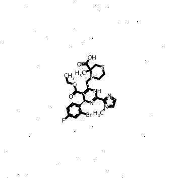 CCOC(=O)C1=C(CN2CCSCC2(C)C(=O)O)NC(c2nccn2C)=N[C@H]1c1ccc(F)cc1Br